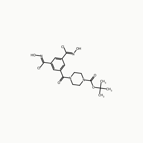 CC(C)(C)OC(=O)N1CCN(C(=O)c2cc(C(Cl)=NO)cc(C(Cl)=NO)c2)CC1